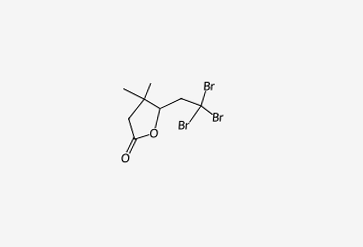 CC1(C)CC(=O)OC1CC(Br)(Br)Br